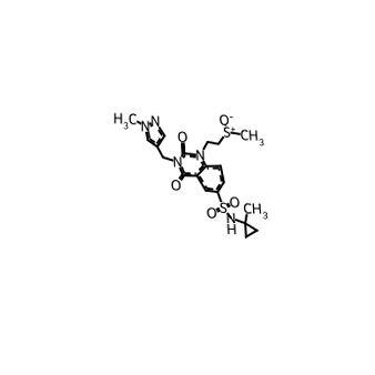 Cn1cc(Cn2c(=O)c3cc(S(=O)(=O)NC4(C)CC4)ccc3n(CC[S+](C)[O-])c2=O)cn1